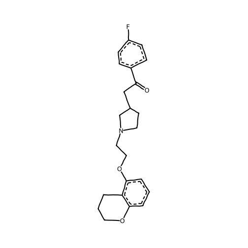 O=C(CC1CCN(CCOc2cccc3c2CCCO3)C1)c1ccc(F)cc1